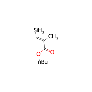 CCCCOC(=O)C(C)=C[SiH3]